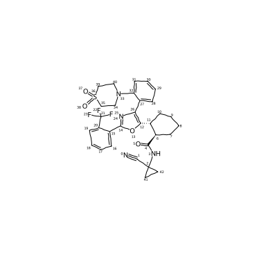 N#CC1(NC(=O)[C@@H]2CCCC[C@H]2c2oc(-c3ccccc3C(F)(F)F)nc2-c2ccccc2N2CCS(=O)(=O)CC2)CC1